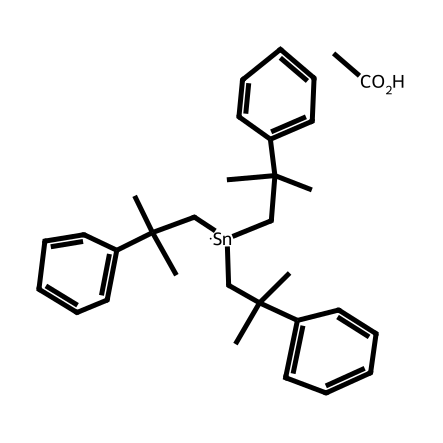 CC(=O)O.CC(C)([CH2][Sn]([CH2]C(C)(C)c1ccccc1)[CH2]C(C)(C)c1ccccc1)c1ccccc1